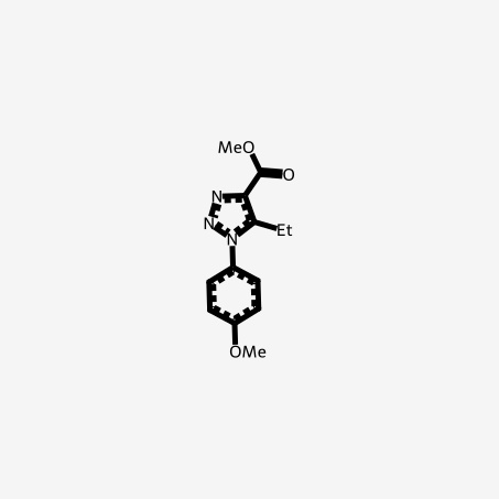 CCc1c(C(=O)OC)nnn1-c1ccc(OC)cc1